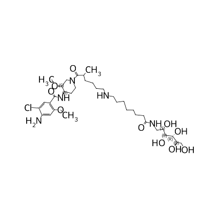 COc1cc(N)c(Cl)cc1C(=O)N[C@@H]1CCN(C(=O)C(C)CCCCNCCCCCCCC(=O)NC[C@H](O)[C@@H](O)[C@H](O)[C@H](O)CO)C[C@@H]1OC